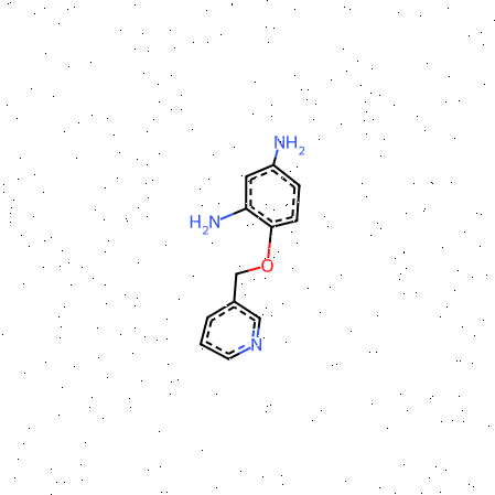 Nc1ccc(OCc2cccnc2)c(N)c1